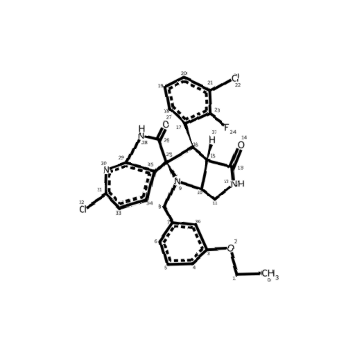 CCOc1cccc(CN2C3CNC(=O)[C@H]3[C@H](c3cccc(Cl)c3F)[C@]23C(=O)Nc2nc(Cl)ccc23)c1